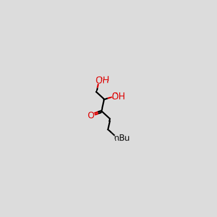 [CH2]CCCCCC(=O)C(O)CO